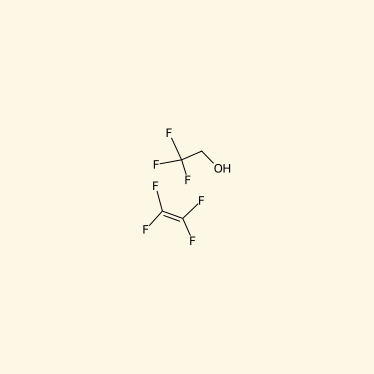 FC(F)=C(F)F.OCC(F)(F)F